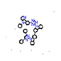 c1ccc(-c2cc(-c3ccccc3)nc(-n3c4ccccc4c4ccc(-c5ccc6c(c5)c5ccccc5n6-c5ncnc(-c6ccc7c(c6)c6ncccc6n7-c6ccccc6)n5)cc43)n2)cc1